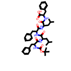 CC(C)CC(NC(=O)C(Cc1ccccc1)NC(=O)C(CC(C)C)NC(=O)C(Cc1ccccc1)NC(=O)OC(C)(C)C)C(=O)NC(Cc1ccccc1)C(=O)O